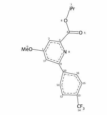 COc1cc(C(=O)OC(C)C)nc(-c2ccc(C(F)(F)F)cc2)c1